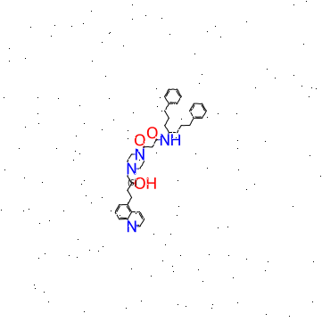 O=C(CC(=O)N1CCN(C[C@@H](O)CCc2cccc3ncccc23)CC1)NC(CCCc1ccccc1)CCCc1ccccc1